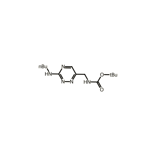 CCCCNc1ncc(CNC(=O)OC(C)(C)C)nn1